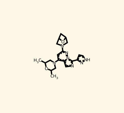 CC1CN(c2cc(N3CC4CC(C3)O4)nn3c(-c4cc[nH]n4)ncc23)CC(C)O1